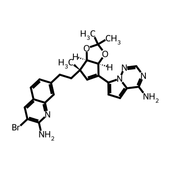 CC1(C)O[C@H]2C(c3ccc4c(N)ncnn34)=C[C@](C)(CCc3ccc4cc(Br)c(N)nc4c3)[C@H]2O1